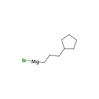 [Br][Mg][CH2]CCC1CCCC1